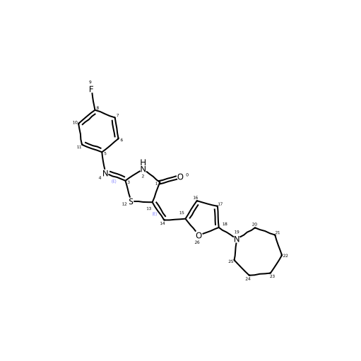 O=C1N/C(=N\c2ccc(F)cc2)S/C1=C/c1ccc(N2CCCCCC2)o1